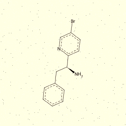 N[C@@H](Cc1ccccc1)c1ccc(Br)cn1